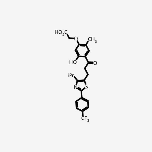 Cc1cc(C(=O)CCc2sc(-c3ccc(C(F)(F)F)cc3)nc2C(C)C)c(O)cc1OCC(=O)O